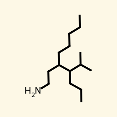 CCCCCC(CCN)C(CCC)C(C)C